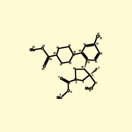 COC[C@@]1(F)CN(C(=O)OC(C)(C)C)C[C@@H]1c1ccc(C(F)(F)F)cc1N1CCC(C(=O)OC(C)(C)C)CC1